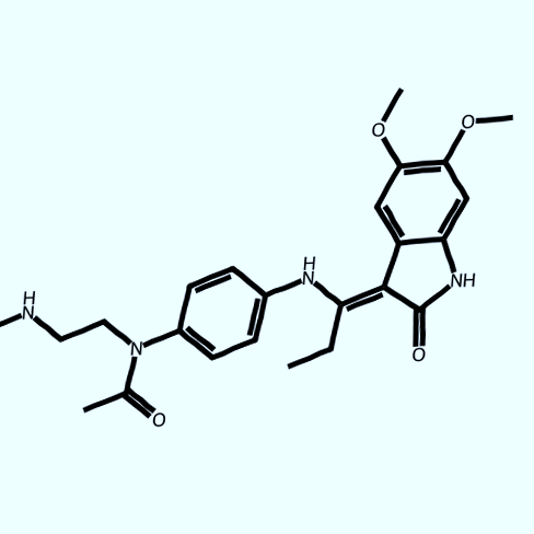 CCC(Nc1ccc(N(CCNC)C(C)=O)cc1)=C1C(=O)Nc2cc(OC)c(OC)cc21